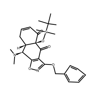 CN(C)[C@@H]1c2onc(OCc3ccccc3)c2C(=O)[C@@]2(O[Si](C)(C)C(C)(C)C)C(=O)C=CC[C@@H]12